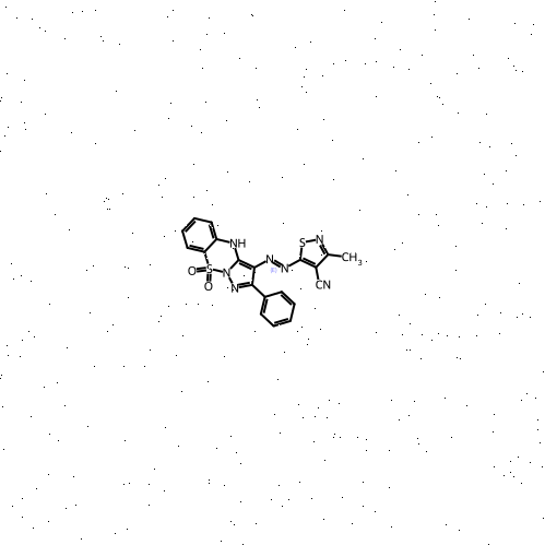 Cc1nsc(/N=N/c2c(-c3ccccc3)nn3c2Nc2ccccc2S3(=O)=O)c1C#N